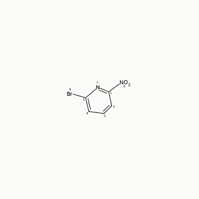 O=[N+]([O-])c1cccc(Br)n1